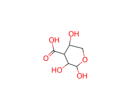 O=C(O)C1C(O)COC(O)C1O